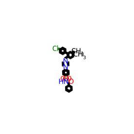 CC1(C)CCC(CN2CCN(c3ccc(S(=O)(=O)NC(=O)C4CC=CCC4)cc3)CC2)=C(c2ccc(Cl)cc2)C1